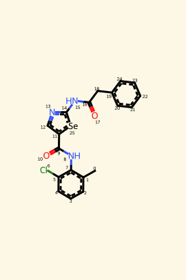 Cc1cccc(Cl)c1NC(=O)c1cnc(NC(=O)Cc2ccccc2)[se]1